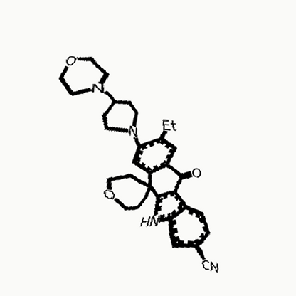 CCc1cc2c(cc1N1CCC(N3CCOCC3)CC1)C1(CCOCC1)c1[nH]c3cc(C#N)ccc3c1C2=O